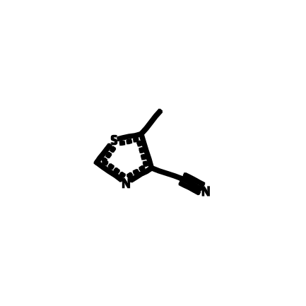 Cc1scnc1C#N